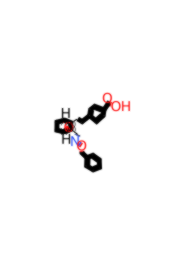 O=C(O)c1ccc(CC[C@@H]2[C@H](C=NOCc3ccccc3)[C@@H]3CC[C@H]2O3)cc1